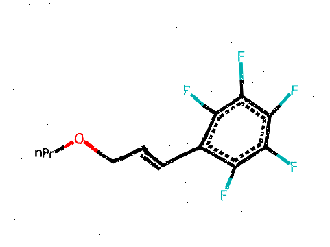 [CH2]CCOCC=Cc1c(F)c(F)c(F)c(F)c1F